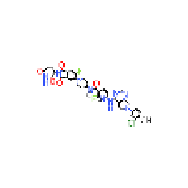 CN(C(=O)c1ccc(Nc2ncnc3c2CCN(c2ccc(C#N)c(Cl)c2)C3)nc1F)C1CCN(c2cc3c(cc2F)C(=O)N(C2CCC(=O)NC2=O)C3=O)CC1